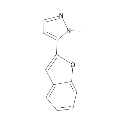 Cn1nccc1-c1cc2ccccc2o1